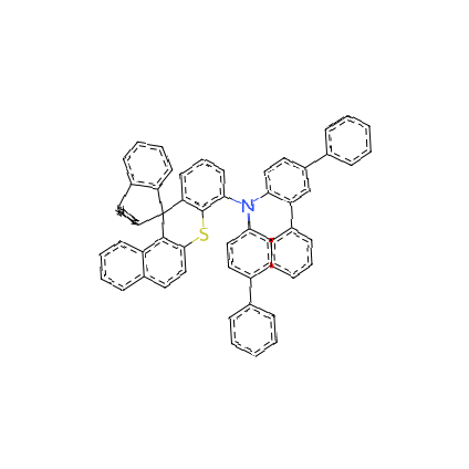 c1ccc(-c2ccc(N(c3ccc(-c4ccccc4)cc3-c3ccccc3)c3cccc4c3Sc3ccc5ccccc5c3C43c4ccccc4-c4ccccc43)cc2)cc1